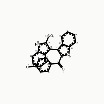 O=C(c1ccc(Cl)cc1)c1oc2ccccc2c1-c1c([N+](=O)[O-])[nH]c2ccccc12